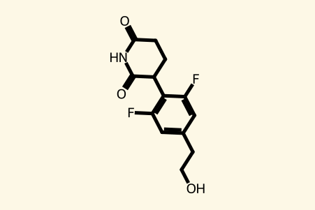 O=C1CCC(c2c(F)cc(CCO)cc2F)C(=O)N1